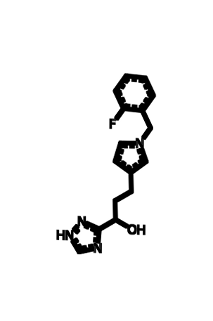 OC(CCc1ccn(Cc2ccccc2F)c1)c1nc[nH]n1